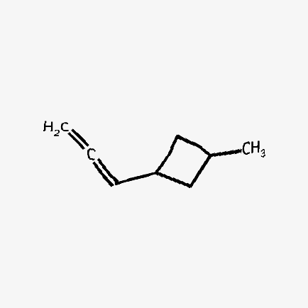 C=C=CC1CC(C)C1